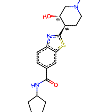 CN1CC[C@@H](c2nc3ccc(C(=O)NC4CCCC4)cc3s2)[C@H](O)C1